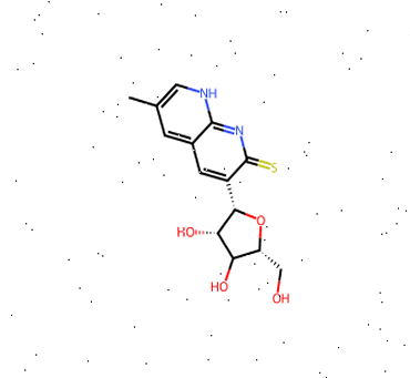 Cc1c[nH]c2nc(=S)c([C@@H]3O[C@H](CO)C(O)[C@@H]3O)cc-2c1